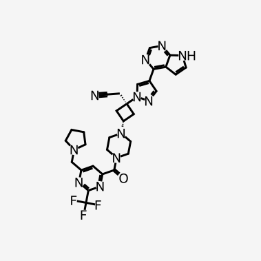 N#CC[C@]1(n2cc(-c3ncnc4[nH]ccc34)cn2)C[C@H](N2CCN(C(=O)c3cc(CN4CCCC4)nc(C(F)(F)F)n3)CC2)C1